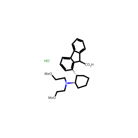 COCCN(CCOC)[C@@H]1CCCC[C@H]1c1cccc2c1C(C(=O)O)c1ccccc1-2.Cl